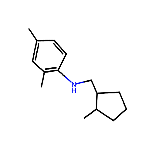 Cc1ccc(NCC2CCCC2C)c(C)c1